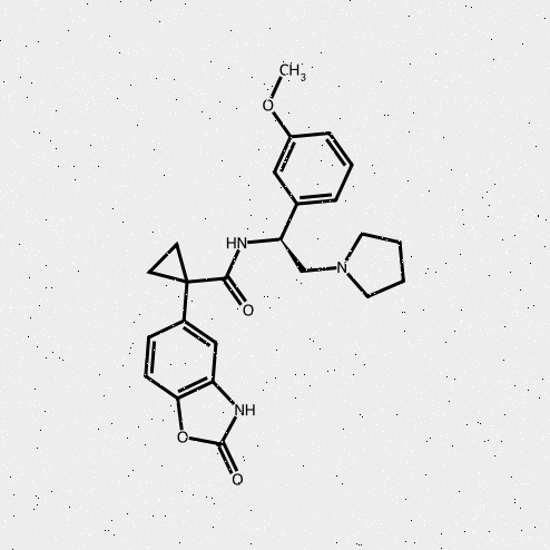 COc1cccc([C@@H](CN2CCCC2)NC(=O)C2(c3ccc4oc(=O)[nH]c4c3)CC2)c1